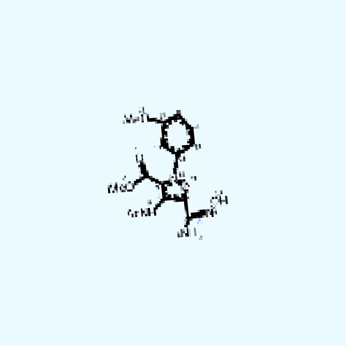 COC(=O)c1c(NC(C)=O)c(/C(N)=N\O)nn1-c1cccc(OC)c1